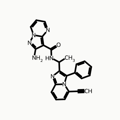 C#Cc1cccc2nc(C(C)NC(=O)c3c(N)nn4cccnc34)c(-c3ccccc3)n12